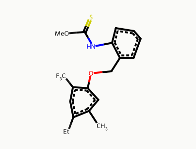 CCc1cc(C(F)(F)F)c(OCc2ccccc2NC(=S)OC)cc1C